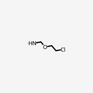 [NH]COCCCl